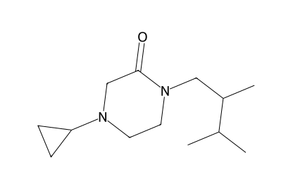 CC(C)C(C)CN1CCN(C2CC2)CC1=O